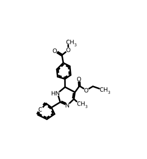 CCOC(=O)C1=C(C)N=C(c2ccccc2)NC1c1ccc(C(=O)OC)cc1